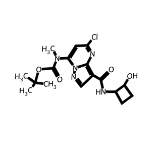 CN(C(=O)OC(C)(C)C)c1cc(Cl)nc2c(C(=O)NC3CCC3O)cnn12